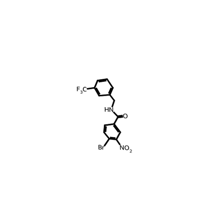 O=C(NCc1cccc(C(F)(F)F)c1)c1ccc(Br)c([N+](=O)[O-])c1